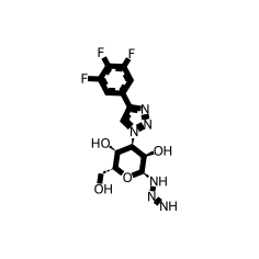 N=NN[C@@H]1O[C@H](CO)[C@H](O)[C@H](n2cc(-c3cc(F)c(F)c(F)c3)nn2)[C@H]1O